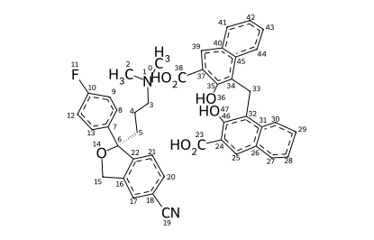 CN(C)CCC[C@@]1(c2ccc(F)cc2)OCc2cc(C#N)ccc21.O=C(O)c1cc2ccccc2c(Cc2c(O)c(C(=O)O)cc3ccccc23)c1O